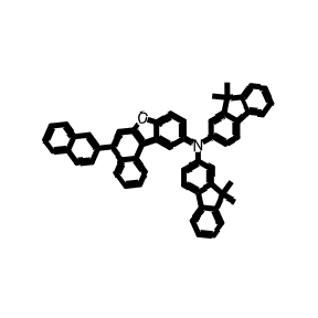 CC1(C)c2ccccc2-c2ccc(N(c3ccc4c(c3)C(C)(C)c3ccccc3-4)c3ccc4oc5cc(-c6ccc7ccccc7c6)c6ccccc6c5c4c3)cc21